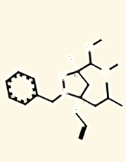 C=CC[C@@]1(CC(C)C)C[C@](C)(C(OC)OC)ON1Cc1ccccc1